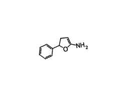 NC1=CCC(c2ccccc2)O1